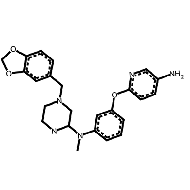 CN(c1cccc(Oc2ccc(N)cn2)c1)C1CN(Cc2ccc3c(c2)OCO3)CC[N]1